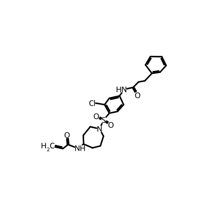 C=CC(=O)NC1CCCN(S(=O)(=O)c2ccc(NC(=O)CCc3ccccc3)cc2Cl)CC1